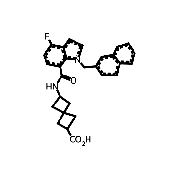 O=C(NC1CC2(C1)CC(C(=O)O)C2)c1ccc(F)c2ccn(Cc3ccc4ccccc4c3)c12